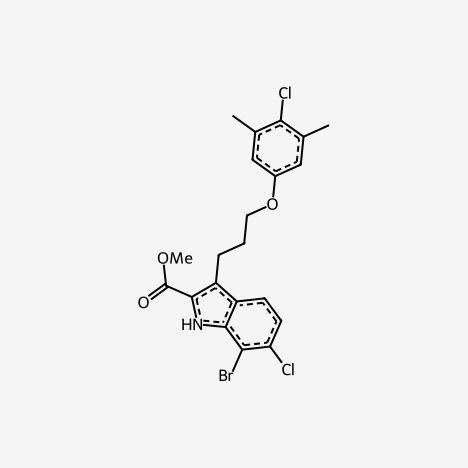 COC(=O)c1[nH]c2c(Br)c(Cl)ccc2c1CCCOc1cc(C)c(Cl)c(C)c1